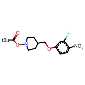 CC(C)(C)C(=O)ON1CCC(COc2ccc([N+](=O)[O-])c(F)c2)CC1